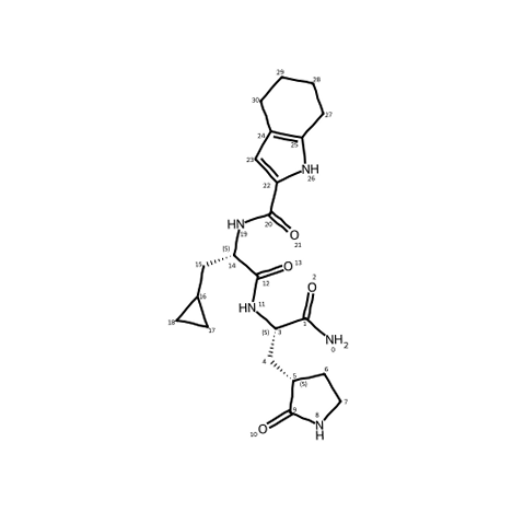 NC(=O)[C@H](C[C@@H]1CCNC1=O)NC(=O)[C@H](CC1CC1)NC(=O)c1cc2c([nH]1)CCCC2